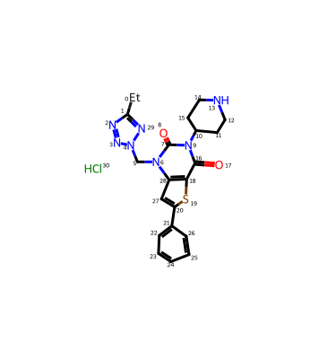 CCc1nnn(Cn2c(=O)n(C3CCNCC3)c(=O)c3sc(-c4ccccc4)cc32)n1.Cl